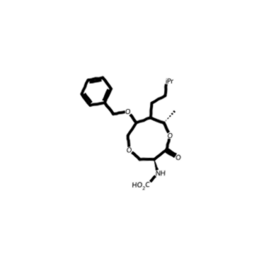 CC(C)CCC1C(OCc2ccccc2)COC[C@H](NC(=O)O)C(=O)O[C@H]1C